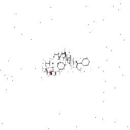 [2H]C([2H])([2H])C(c1cc(C(C([2H])([2H])[2H])(C([2H])([2H])[2H])C([2H])([2H])[2H])c(NC(=O)c2c[nH]c3ccccc3c2=O)cc1O)(C([2H])([2H])[2H])C([2H])([2H])[2H]